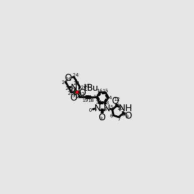 Cn1c(=O)n(C2CCC(=O)NC2=O)c2cccc(C#CCN3CC4COCC(C3)N4C(=O)OC(C)(C)C)c21